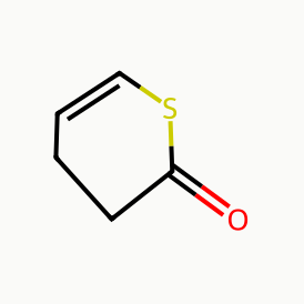 O=C1CCC=CS1